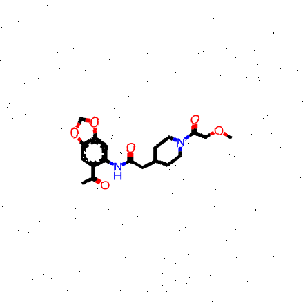 COCC(=O)N1CCC(CC(=O)Nc2cc3c(cc2C(C)=O)OCO3)CC1